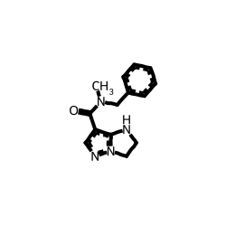 CN(Cc1ccccc1)C(=O)c1cnn2c1NCC2